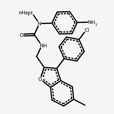 CCCCCCCN(C(=O)NCc1oc2ccc(C)cc2c1-c1ccc(Cl)cc1)c1ccc(N)cc1